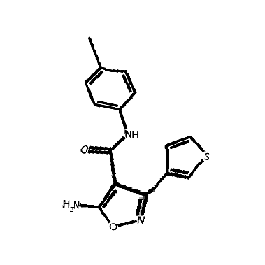 Cc1ccc(NC(=O)c2c(-c3ccsc3)noc2N)cc1